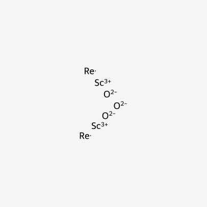 [O-2].[O-2].[O-2].[Re].[Re].[Sc+3].[Sc+3]